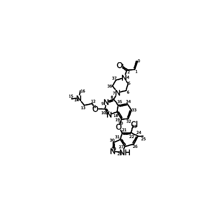 C=CC(=O)N1CCN(c2nc(OCCN(C)C)nc3c(Oc4c(Cl)c(C)cc5[nH]ncc45)cccc23)CC1